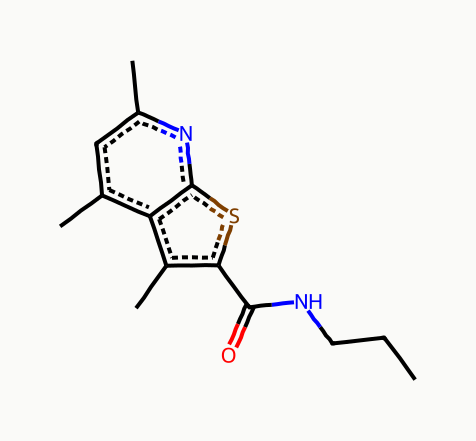 CCCNC(=O)c1sc2nc(C)cc(C)c2c1C